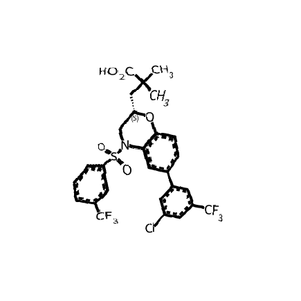 CC(C)(C[C@H]1CN(S(=O)(=O)c2cccc(C(F)(F)F)c2)c2cc(-c3cc(Cl)cc(C(F)(F)F)c3)ccc2O1)C(=O)O